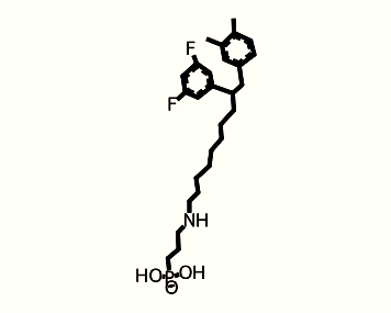 Cc1ccc(CC(CCCCCCCCNCCCP(=O)(O)O)c2cc(F)cc(F)c2)cc1C